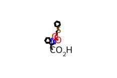 O=C(O)Cc1cn(C(=O)OCCSc2ccccc2)c2ccccc12